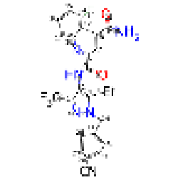 CCc1c(NC(=O)c2cc(C(N)=O)c3c(F)cccc3n2)c(C(F)(F)F)nn1Cc1ccc(C#N)cc1